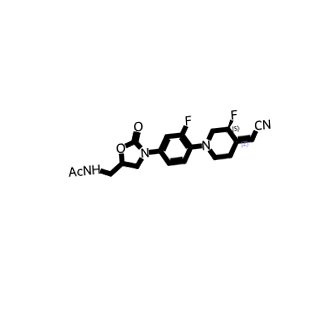 CC(=O)NCC1CN(c2ccc(N3CC/C(=C/C#N)[C@H](F)C3)c(F)c2)C(=O)O1